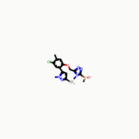 Cc1cc(OCc2nnc([S+](C)[O-])n2C)c(-c2cc(C(F)(F)F)nn2C)cc1Cl